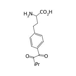 CC(C)C(=O)C(=O)c1ccc(CCC(N)C(=O)O)cc1